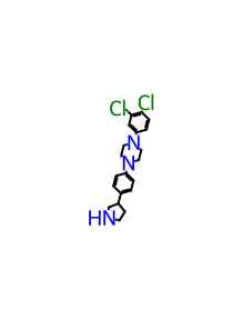 Clc1ccc(N2CCN(c3ccc(C4CCNC4)cc3)CC2)cc1Cl